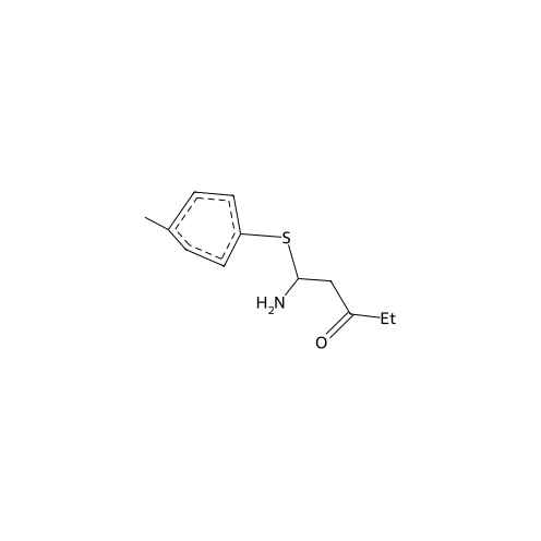 CCC(=O)CC(N)Sc1ccc(C)cc1